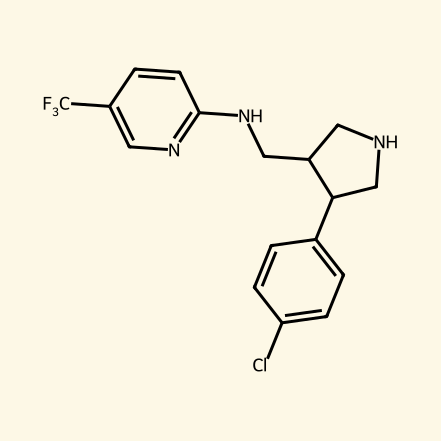 FC(F)(F)c1ccc(NCC2CNCC2c2ccc(Cl)cc2)nc1